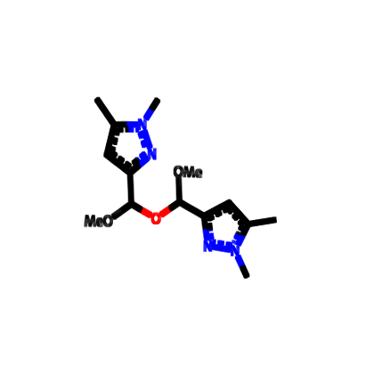 COC(OC(OC)c1cc(C)n(C)n1)c1cc(C)n(C)n1